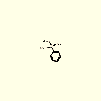 CCCC[CH2][Sn]([CH2]CCCC)([CH2]CCCC)[c]1ccccc1